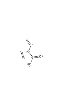 C=C.C=COC(=O)O